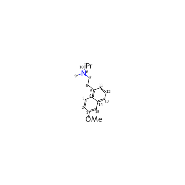 COc1ccc2c(CCN(C)C(C)C)cccc2c1